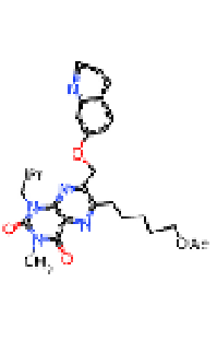 CC(=O)OCCCCCc1nc2c(=O)n(C)c(=O)n(CC(C)C)c2nc1COc1ccc2cccnc2c1